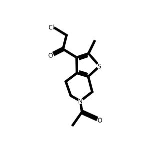 CC(=O)N1CCc2c(sc(C)c2C(=O)CCl)C1